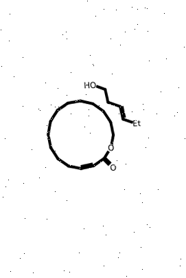 CCC=CCCO.O=C1C=CCCCCCCCCCCCCO1